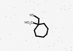 O=C(O)C1(CS)CCCCCC1